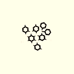 Cc1ccc2c(c1)B1c3cc(C)cc4c3N3c5c(cc(C)cc5[Si]4(c4ccccc4)c4ccccc4)B4c5cc(C)ccc5Oc5c(C)c(c1c3c54)O2